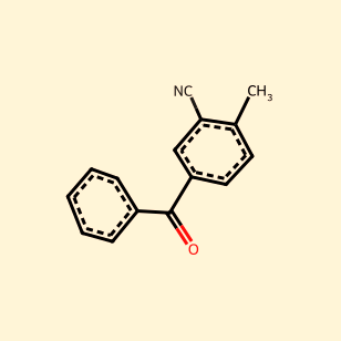 Cc1ccc(C(=O)c2ccccc2)cc1C#N